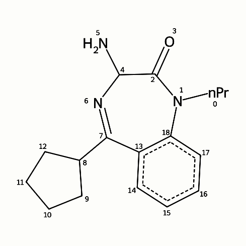 CCCN1C(=O)C(N)N=C(C2CCCC2)c2ccccc21